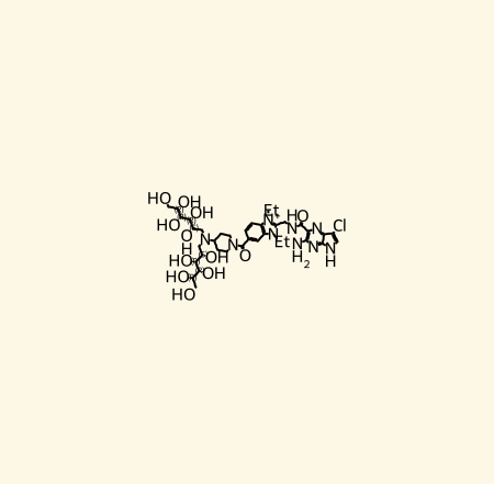 CCn1c(CNC(=O)c2nc3c(Cl)c[nH]c3nc2N)[n+](CC)c2ccc(C(=O)N3CCC(N(C[C@H](O)[C@@H](O)[C@H](O)[C@H](O)CO)C[C@H](O)[C@@H](O)[C@H](O)[C@H](O)CO)CC3)cc21